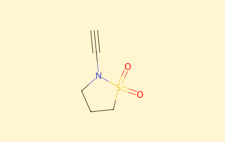 C#CN1CCCS1(=O)=O